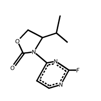 CC(C)C1COC(=O)N1c1ccnc(F)n1